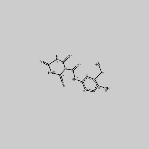 O=C1NC(=O)C(C(=O)Nc2ccc(O)c(CO)c2)C(=O)N1